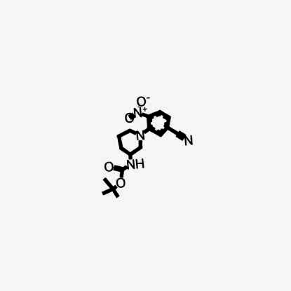 CC(C)(C)OC(=O)NC1CCCN(c2cc(C#N)ccc2[N+](=O)[O-])C1